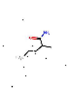 C[C](CCC(=O)O)C(N)=O